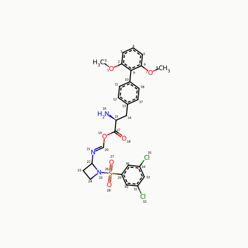 COc1cccc(OC)c1-c1ccc(C[C@H](N)C(=O)OC=NC2CCN2S(=O)(=O)c2cc(Cl)cc(Cl)c2)cc1